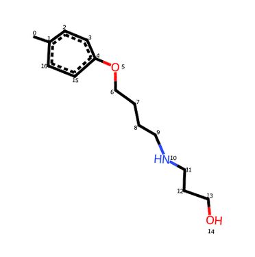 Cc1ccc(OCCCCNCCCO)cc1